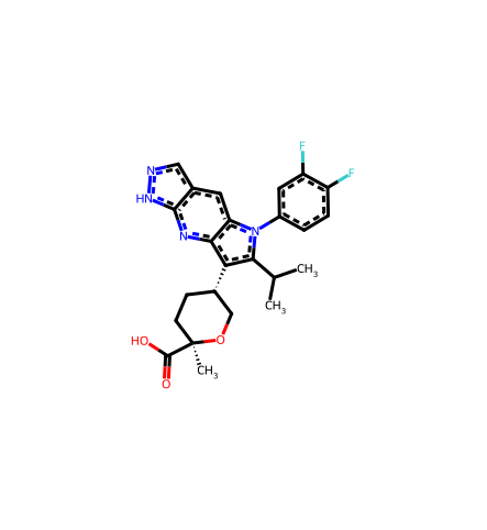 CC(C)c1c([C@H]2CC[C@](C)(C(=O)O)OC2)c2nc3[nH]ncc3cc2n1-c1ccc(F)c(F)c1